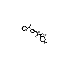 CC(c1ccccn1)n1cc(NC(=O)c2n[nH]c3c2CCC(C)(C)C3)cn1